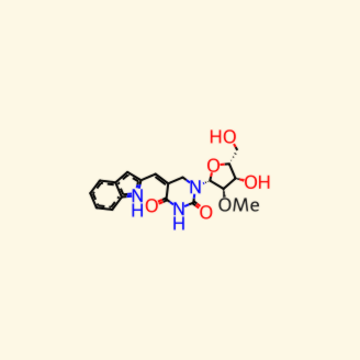 CO[C@@H]1[C@H](O)[C@@H](CO)O[C@H]1N1CC(=Cc2cc3ccccc3[nH]2)C(=O)NC1=O